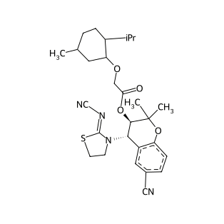 CC1CCC(C(C)C)C(OCC(=O)O[C@@H]2[C@@H](N3CCSC3=NC#N)c3cc(C#N)ccc3OC2(C)C)C1